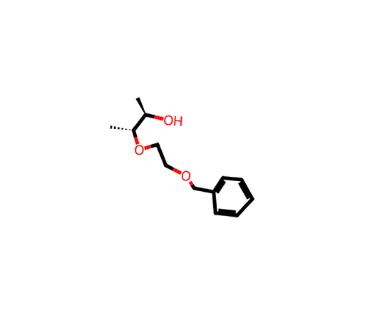 C[C@@H](O)[C@@H](C)OCCOCc1ccccc1